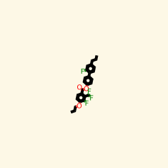 CCCOc1ccc(C(=O)Oc2ccc(-c3ccc(CCC)cc3F)cc2)c(C(F)F)c1F